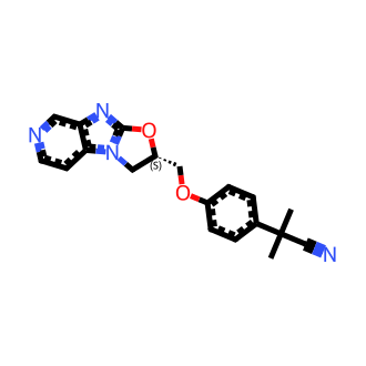 CC(C)(C#N)c1ccc(OC[C@@H]2Cn3c(nc4cnccc43)O2)cc1